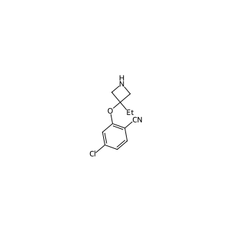 CCC1(Oc2cc(Cl)ccc2C#N)CNC1